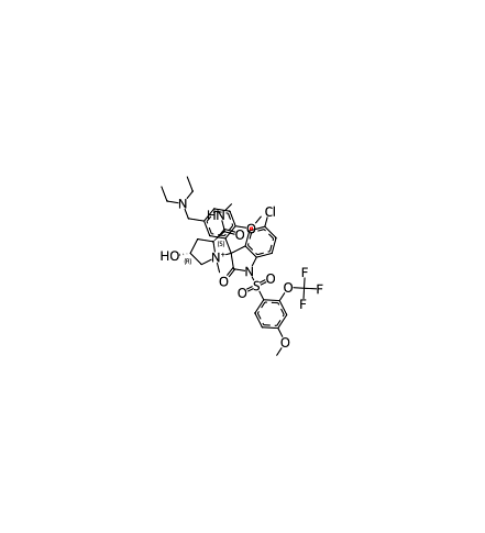 CCN(CC)Cc1ccc(OC)c(C2([N+]3(C)C[C@H](O)C[C@H]3C(=O)NC)C(=O)N(S(=O)(=O)c3ccc(OC)cc3OC(F)(F)F)c3ccc(Cl)cc32)c1